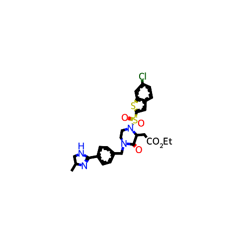 CCOC(=O)CC1C(=O)N(Cc2ccc(C3=NC(C)CN3)cc2)CCN1S(=O)(=O)c1cc2ccc(Cl)cc2s1